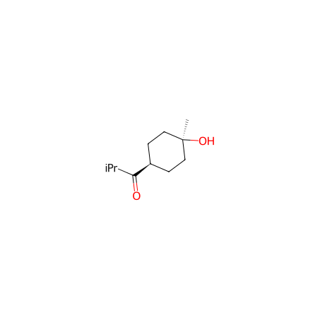 CC(C)C(=O)[C@H]1CC[C@@](C)(O)CC1